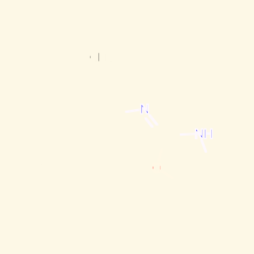 CC1Cc2ccccc2C1N=C1NCCO1